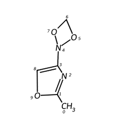 Cc1nc(N2OCO2)co1